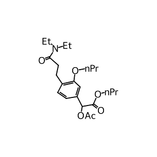 CCCOC(=O)C(OC(C)=O)c1ccc(CCC(=O)N(CC)CC)c(OCCC)c1